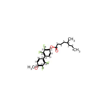 CCCC(C)CCCC(=O)Oc1ccc(-c2ccc(OC)c(F)c2F)c(F)c1F